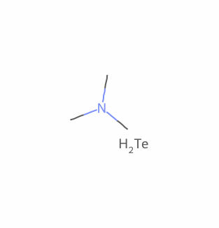 CN(C)C.[TeH2]